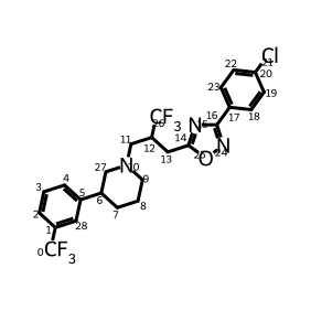 FC(F)(F)c1cccc(C2CCCN(CC(Cc3nc(-c4ccc(Cl)cc4)no3)C(F)(F)F)C2)c1